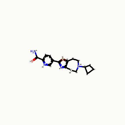 NC(=O)c1ccc(-c2nc3c(s2)CCN(C2CCC2)CC3)cn1